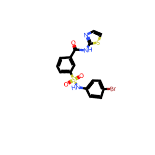 O=C(Nc1nccs1)c1cccc(S(=O)(=O)Nc2ccc(Br)cc2)c1